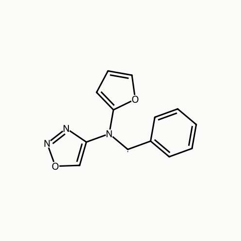 [CH](c1ccccc1)N(c1conn1)c1ccco1